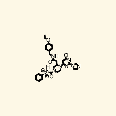 CCOc1ccc(CNC(=O)CC2CN(C(=O)NS(=O)(=O)c3ccccc3)CCN2c2cc(Cl)nc(-n3ccnc3)n2)cc1